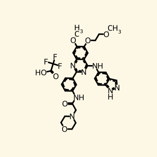 COCCOc1cc2c(Nc3ccc4[nH]ncc4c3)nc(-c3cccc(NC(=O)CN4CCOCC4)c3)nc2cc1OC.O=C(O)C(F)(F)F